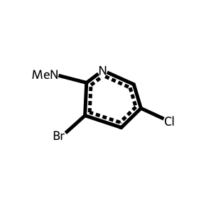 CNc1ncc(Cl)cc1Br